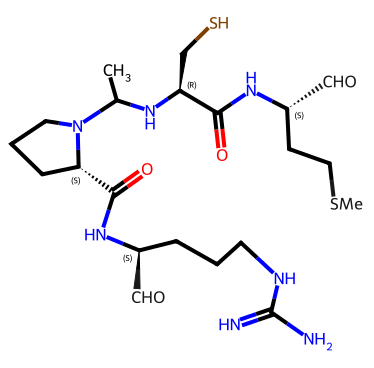 CSCC[C@@H](C=O)NC(=O)[C@H](CS)NC(C)N1CCC[C@H]1C(=O)N[C@H](C=O)CCCNC(=N)N